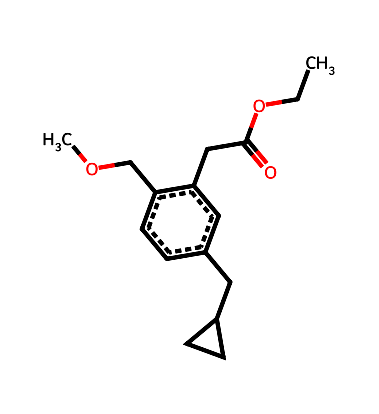 CCOC(=O)Cc1cc(CC2CC2)ccc1COC